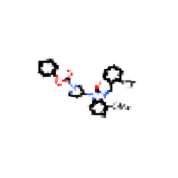 COc1cccc2c1n(Cc1ccccc1C(F)(F)F)c(=O)n2C1CCN(C(=O)Oc2ccccc2)C1